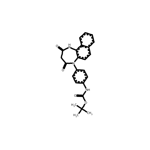 CC(C)(C)OC(=O)Nc1ccc(N2C(=O)CC(=O)Nc3c2ccc2ccccc32)cc1